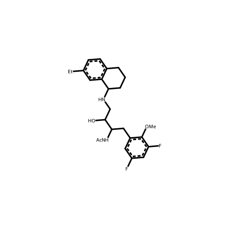 CCc1ccc2c(c1)C(NCC(O)C(Cc1cc(F)cc(F)c1OC)NC(C)=O)CCC2